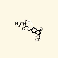 CN(C)C(=O)COc1ccc2c(=O)cc(CCl)oc2c1